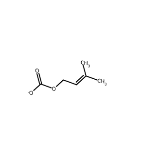 CC(C)=CCOC([O])=O